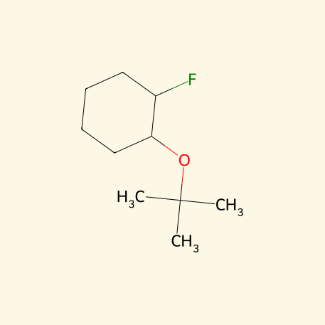 CC(C)(C)OC1CCCCC1F